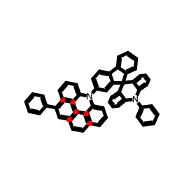 c1ccc(-c2ccc(-c3ccccc3N(c3ccc4c(c3)C3(c5ccccc5-4)c4ccccc4N(c4ccccc4)c4ccccc43)c3ccccc3-c3ccccc3)cc2)cc1